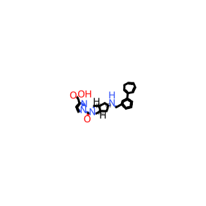 O=C(O)c1ccn(C(=O)N2C[C@H]3C[C@H](NCc4cccc(C5=CCC=CC=C5)c4)C[C@H]3C2)n1